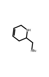 CCCCCC1CC=CCN1